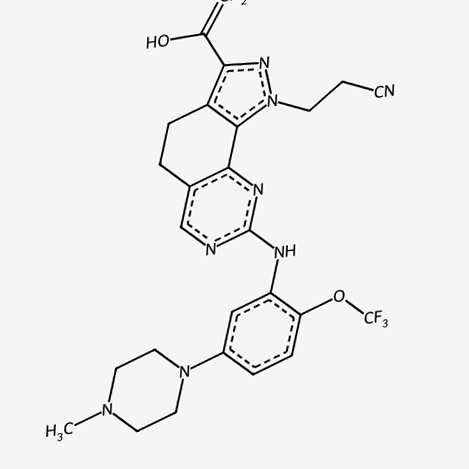 C=C(O)c1nn(CCC#N)c2c1CCc1cnc(Nc3cc(N4CCN(C)CC4)ccc3OC(F)(F)F)nc1-2